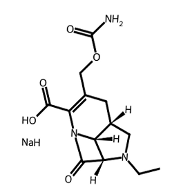 CCN1C[C@H]2CC(COC(N)=O)=C(C(=O)O)N3C(=O)[C@@H]1[C@@H]23.[NaH]